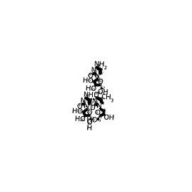 Cc1cn([C@H]2C[C@H](O)[C@@H](CO)O2)c(=O)[nH]c1=O.Nc1ccn([C@@H]2O[C@H](CO)[C@@H](O)[C@H]2O)c(=O)n1.Nc1ccn([C@@H]2O[C@H](CO)[C@@H](O)[C@H]2O)c(=O)n1